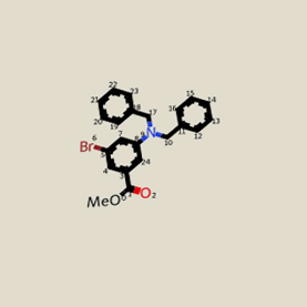 COC(=O)c1cc(Br)cc(N(Cc2ccccc2)Cc2ccccc2)c1